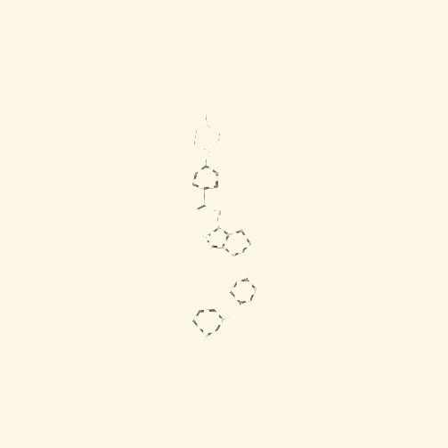 CN1CCN(c2ccc(C(=O)Nc3n[nH]c4cc(Oc5ccc(Oc6ccccc6)cc5)ccc34)cc2)CC1